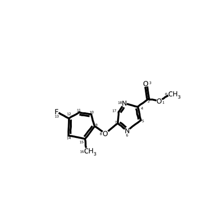 COC(=O)c1cnc(Oc2ccc(F)cc2C)cn1